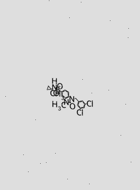 Cn1c(=O)n(Cc2cc(Cl)cc(Cl)c2)c2ccc(S(=O)(=O)NC3(C)CC3)cc21